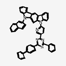 c1ccc(-c2ccc(-c3nc(-c4ccccc4)nc(-c4ccc(-n5c6ccccc6c6cc7c8ccccc8n(-c8ccc9ccccc9c8)c7cc65)nc4)n3)cc2)cc1